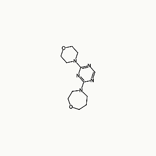 c1nc(N2CCCOCC2)nc(N2CCOCC2)n1